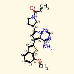 C=CC(=O)N1CC[C@H](c2cc(-c3cc4cccc(OC)c4s3)c3c(N)ncnn23)C1